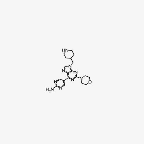 Nc1ncc(-c2nc(N3CCOCC3)nc3c2ncn3CC2CCNCC2)cn1